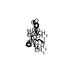 CC(C)C(NC[C@@H](O)[C@H](Cc1ccccc1)N(NC(=O)CN(C)C)C(=O)CCC#N)S(=O)(=O)c1ccc2c(c1)OCO2